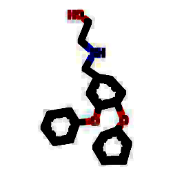 OCCNCc1ccc(Oc2ccccc2)c(Oc2ccccc2)c1